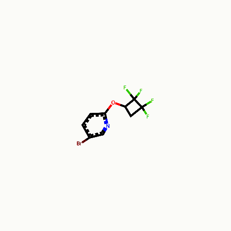 FC1(F)CC(Oc2ccc(Br)cn2)C1(F)F